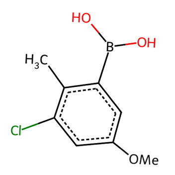 COc1cc(Cl)c(C)c(B(O)O)c1